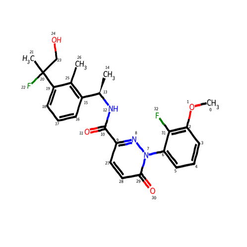 COc1cccc(-n2nc(C(=O)N[C@H](C)c3cccc(C(C)(F)CO)c3C)ccc2=O)c1F